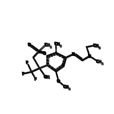 CCN(C)C=Nc1cc(OC)c(C(O)(CS(C)(=O)=O)C(F)(F)F)cc1C